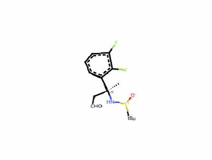 CC(C)(C)[S+]([O-])N[C@@](C)(CC=O)c1cccc(F)c1F